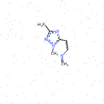 C=N/C=C\c1nc(C)nn1C